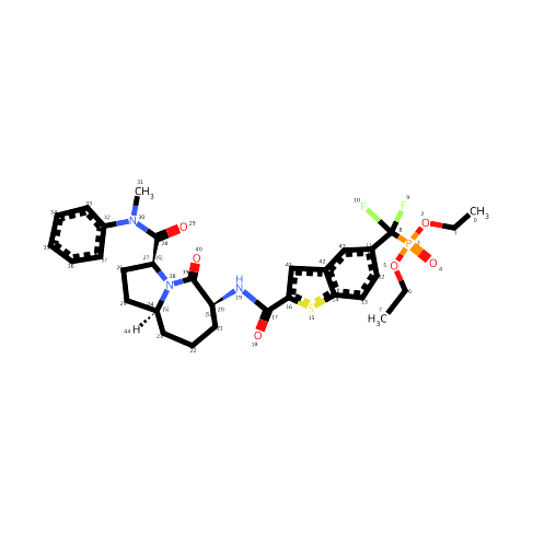 CCOP(=O)(OCC)C(F)(F)c1ccc2sc(C(=O)N[C@H]3CCC[C@H]4CC[C@@H](C(=O)N(C)c5ccccc5)N4C3=O)cc2c1